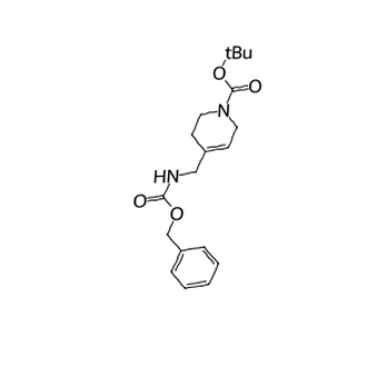 CC(C)(C)OC(=O)N1CC=C(CNC(=O)OCc2ccccc2)CC1